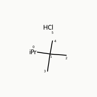 CC(C)C(C)(C)C.Cl